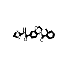 Cc1ccccc1C(=O)N1CCOc2cc(C(=O)Nc3nccs3)ccc21